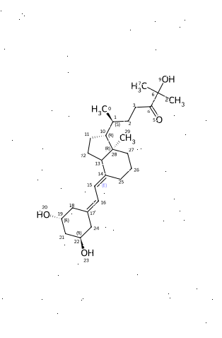 C[C@@H](CCC(=O)C(C)(C)O)[C@H]1CCC2/C(=C/C=C3C[C@@H](O)C[C@H](O)C3)CCC[C@@]21C